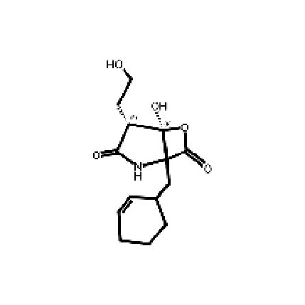 O=C1NC2(CC3C=CCCC3)C(=O)O[C@]2(O)[C@H]1CCO